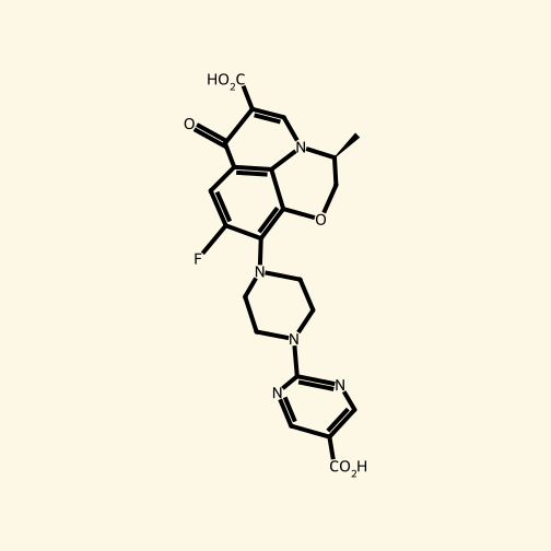 C[C@H]1COc2c(N3CCN(c4ncc(C(=O)O)cn4)CC3)c(F)cc3c(=O)c(C(=O)O)cn1c23